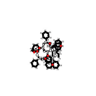 C=C[Si]1(C)O[SiH](c2ccccc2)O[Si]2(c3ccccc3)O[Si]3(c4ccccc4)O[SiH](c4ccccc4)O[Si]4(c5ccccc5)O[Si](c5ccccc5)(O1)O[Si](c1ccccc1)(O2)O[Si](c1ccccc1)(O[Si](C)(C=C)O3)O4